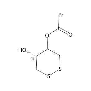 CC(C)C(=O)OC1CSSC[C@@H]1O